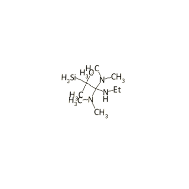 CCNC(N(C)C)(N(C)C)C(C)(C)[SiH3]